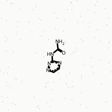 NC(=O)Nc1nccnn1